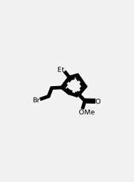 CCc1ccc(C(=O)OC)cc1CCBr